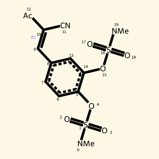 CNS(=O)(=O)Oc1ccc(/C=C(\C#N)C(C)=O)cc1OS(=O)(=O)NC